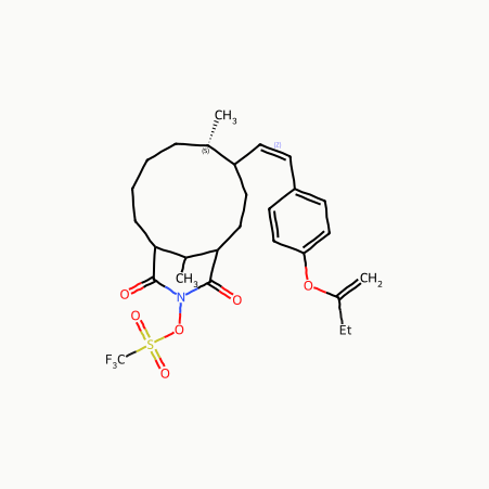 C=C(CC)Oc1ccc(/C=C\C2CCC3C(=O)N(OS(=O)(=O)C(F)(F)F)C(=O)C(CCCC[C@@H]2C)C3C)cc1